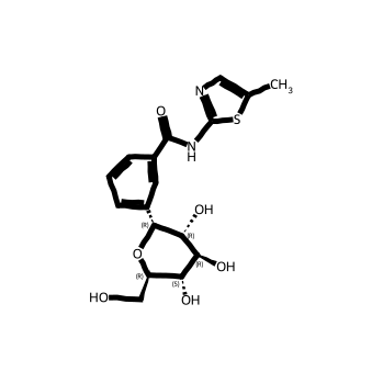 Cc1cnc(NC(=O)c2cccc([C@H]3O[C@H](CO)[C@@H](O)[C@H](O)[C@H]3O)c2)s1